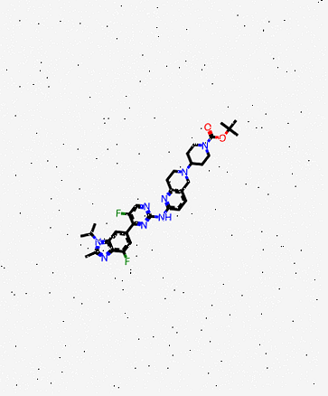 Cc1nc2c(F)cc(-c3nc(Nc4ccc5c(n4)CCN(C4CCN(C(=O)OC(C)(C)C)CC4)C5)ncc3F)cc2n1C(C)C